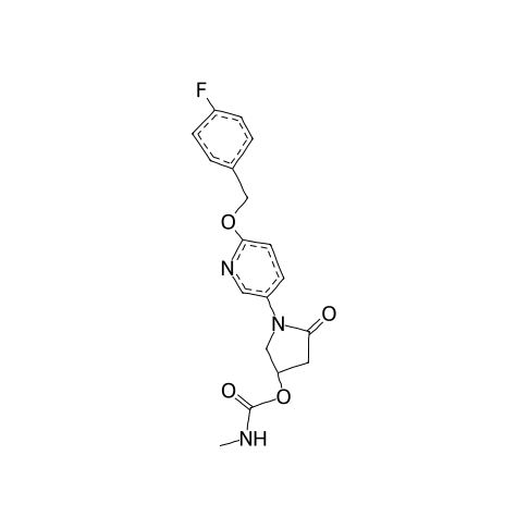 CNC(=O)OC1CC(=O)N(c2ccc(OCc3ccc(F)cc3)nc2)C1